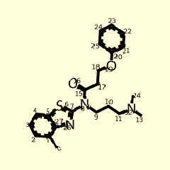 Cc1cccc2sc(N(CCCN(C)C)C(=O)CCOc3ccccc3)nc12